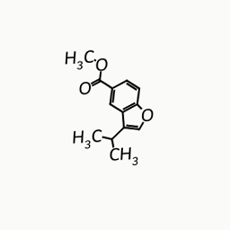 COC(=O)c1ccc2occ(C(C)C)c2c1